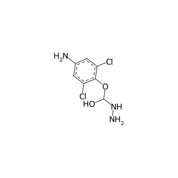 NNC(O)Oc1c(Cl)cc(N)cc1Cl